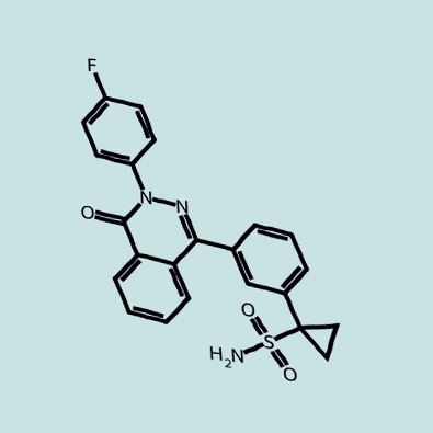 NS(=O)(=O)C1(c2cccc(-c3nn(-c4ccc(F)cc4)c(=O)c4ccccc34)c2)CC1